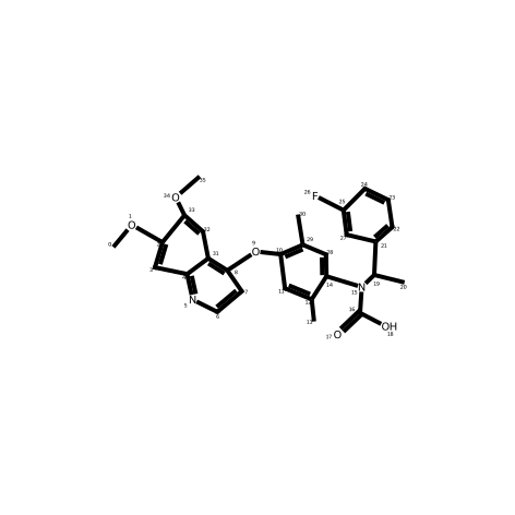 COc1cc2nccc(Oc3cc(C)c(N(C(=O)O)C(C)c4cccc(F)c4)cc3C)c2cc1OC